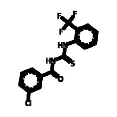 O=C(NC(=S)Nc1ccccc1C(F)(F)F)c1cccc(Cl)c1